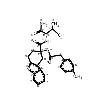 Cc1ccc(CC(=O)N[C@]2(C(=O)N[C@H](C(N)=O)C(C)C)CCc3[nH]c4ccccc4c3C2)cc1